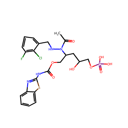 CC(=O)N(NCc1cccc(F)c1Cl)C(COC(=O)Nc1nc2ccccc2s1)CC(O)COP(=O)(O)O